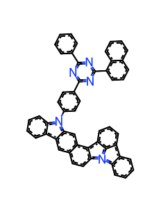 c1ccc(-c2nc(-c3ccc(-n4c5ccccc5c5cc6ccc7c(c6cc54)c4cccc5c6ccccc6n7c54)cc3)nc(-c3cccc4ccccc34)n2)cc1